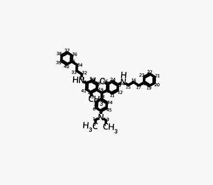 CCN(CC)c1ccc(C(c2ccc(NCCCc3ccccc3)cc2C)c2ccc(NCCCc3ccccc3)cc2C)cc1